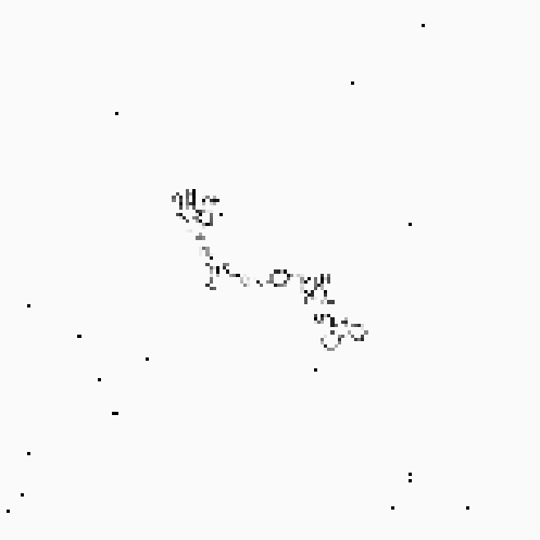 O=C(Nc1ccccc1-c1ccccc1)O[C@H]1C[C@@H]2CN(Cc3ccc(CCOCCC(=O)N(CCNC[C@H](O)c4ccc(O)c5[nH]c(=O)ccc45)C4CC4)cc3)C[C@@H]2C1